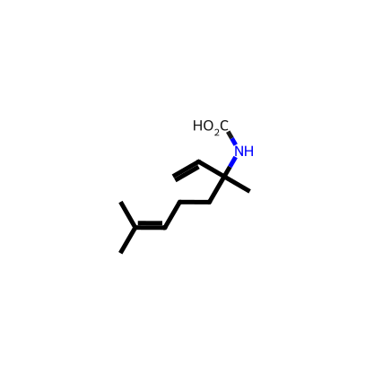 C=CC(C)(CCC=C(C)C)NC(=O)O